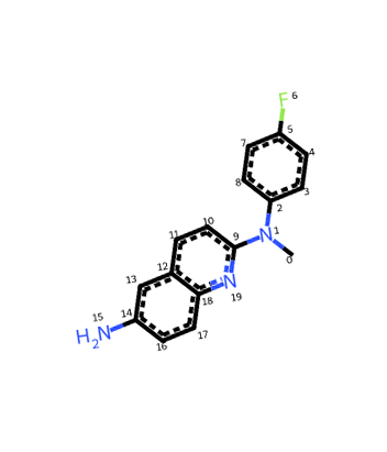 CN(c1ccc(F)cc1)c1ccc2cc(N)ccc2n1